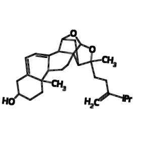 C=C(CCC1(C)OC2OC3CC1C21CCC2C(=CC=C4CC(O)CCC42C)C31)C(C)C